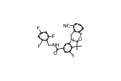 CC1(C)C(=O)N(Cc2c(F)cccc2C#N)c2cc(C(=O)NCc3c(F)cc(F)cc3F)cc(I)c21